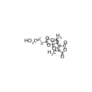 CC1C(=O)OC(=O)[C@@H]1C(C)C(C)(C)OC(=O)CCC(=O)O